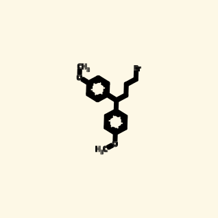 COc1ccc(C(CCCBr)c2ccc(OC)cc2)cc1